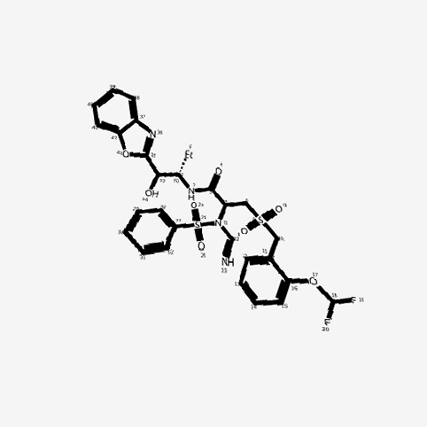 CC[C@H](NC(=O)C(CS(=O)(=O)Cc1ccccc1OC(F)F)N(C=N)S(=O)(=O)c1ccccc1)C(O)c1nc2ccccc2o1